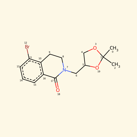 CC1(C)OCC(CN2CCc3c(Br)cccc3C2=O)O1